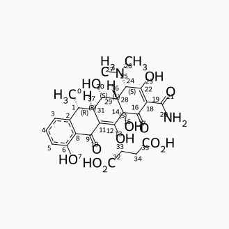 C[C@H]1c2cccc(O)c2C(=O)C2=C(O)[C@]3(O)C(=O)C(C(N)=O)=C(O)[C@@H](N(C)C)[C@H]3[C@@H](O)[C@@H]21.O=C(O)CCC(=O)O